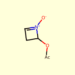 CC(=O)OC1CC=[N+]1[O-]